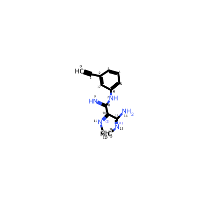 C#Cc1cccc(NC(=N)C(=N/C)/C(N)=N\C)c1